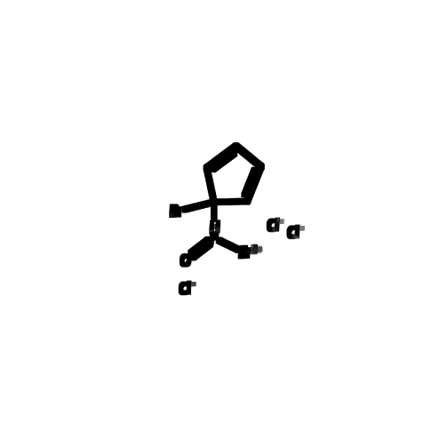 O=[PH]([Zr+3])C1(Br)C=CC=C1.[Cl-].[Cl-].[Cl-]